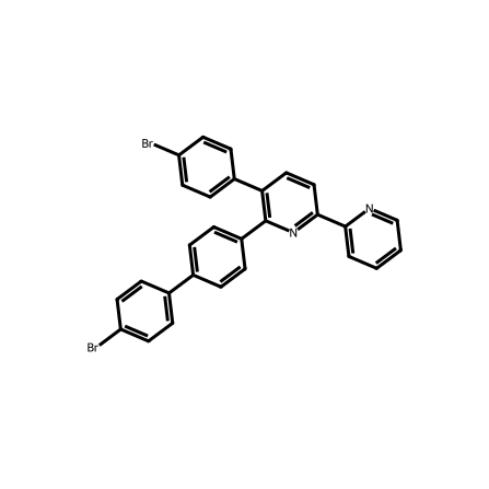 Brc1ccc(-c2ccc(-c3nc(-c4ccccn4)ccc3-c3ccc(Br)cc3)cc2)cc1